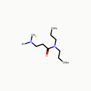 COCCN(CCOC)C(=O)CCN(C)C(C)C